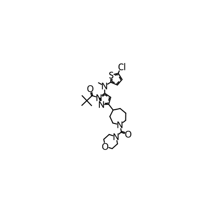 CN(c1ccc(Cl)s1)c1cc(C2CCCN(C(=O)N3CCOCC3)CC2)nn1C(=O)C(C)(C)C